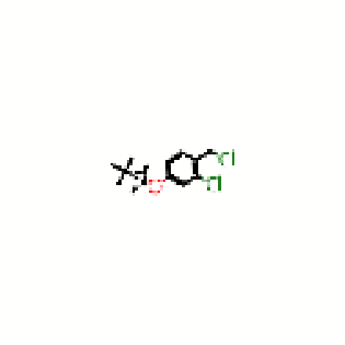 CC(C)(C)[Si](C)(C)Oc1ccc(CCl)c(Cl)c1